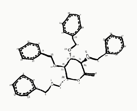 C=C1O[C@H](COCc2ccccc2)[C@@H](OCc2ccccc2)[C@H](OCc2ccccc2)[C@H]1OCc1ccccc1